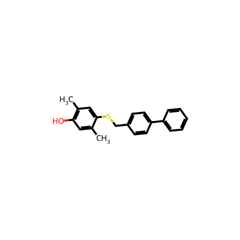 Cc1cc(SCc2ccc(-c3ccccc3)cc2)c(C)cc1O